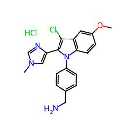 COc1ccc2c(c1)c(Cl)c(-c1cn(C)cn1)n2-c1ccc(CN)cc1.Cl